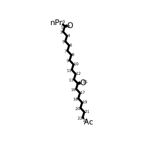 CCCC(=O)CCCCCCCCCCCC(=O)CCCCCCCC(C)=O